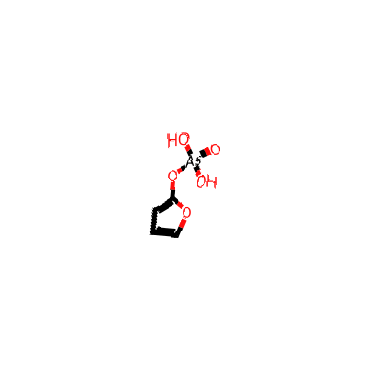 O=[As](O)(O)Oc1ccco1